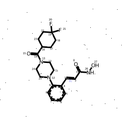 O=C(/C=C/c1ccccc1N1CCN(C(=O)C2CCC(F)(F)CC2)CC1)NO